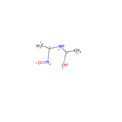 CC(O)NC(C)N=O